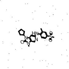 Cc1cc(S(C)(=O)=O)ccc1Nc1cc2c(cn1)n(C)c(=O)n2C1CCCC1